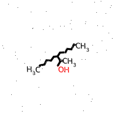 CCCCCCC(CCCCCC)[C@@H](C)CO